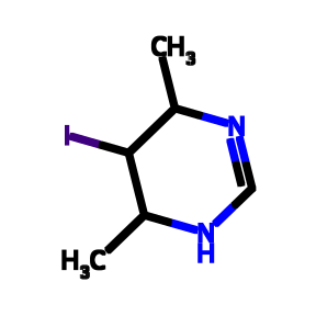 CC1N=CNC(C)C1I